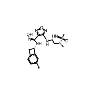 CN(CCNc1nonc1/C(=N\O)N[C@H]1Cc2ccc(F)cc21)S(C)(=N)=O